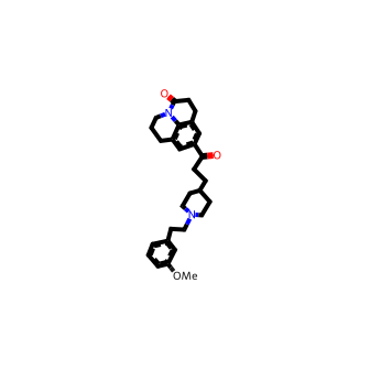 COc1cccc(CCN2CCC(CCC(=O)c3cc4c5c(c3)CCC(=O)N5CCC4)CC2)c1